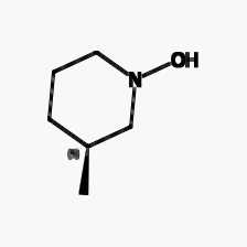 C[C@H]1CCCN(O)C1